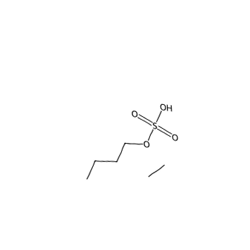 CC.CCCCOS(=O)(=O)O